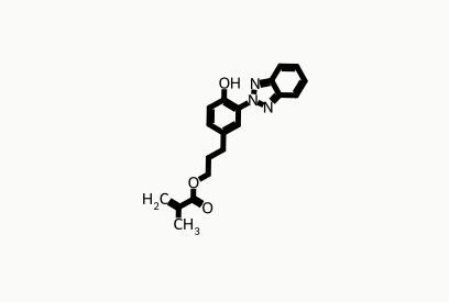 C=C(C)C(=O)OCCCc1ccc(O)c(-n2nc3ccccc3n2)c1